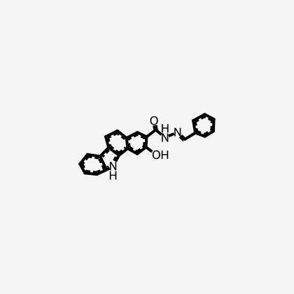 O=C(N/N=C/c1ccccc1)c1cc2ccc3c4ccccc4[nH]c3c2cc1O